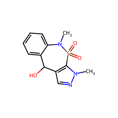 CN1c2ccccc2C(O)c2cnn(C)c2S1(=O)=O